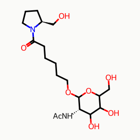 CC(=O)N[C@@H]1C(OCCCCCC(=O)N2CCC[C@H]2CO)OC(CO)C(O)C1O